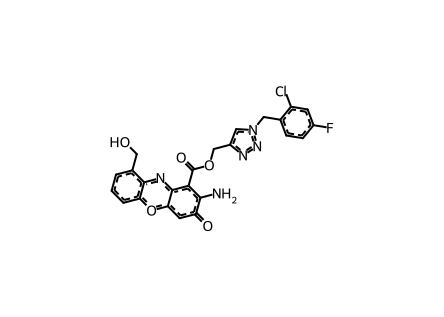 Nc1c(C(=O)OCc2cn(Cc3ccc(F)cc3Cl)nn2)c2nc3c(CO)cccc3oc-2cc1=O